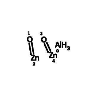 [AlH3].[O]=[Zn].[O]=[Zn]